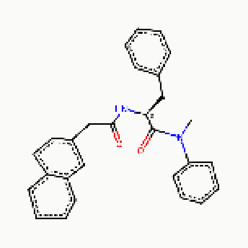 CN(C(=O)[C@H](Cc1ccccc1)NC(=O)Cc1ccc2ccccc2c1)c1ccccc1